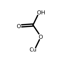 O=C(O)[O][Cu]